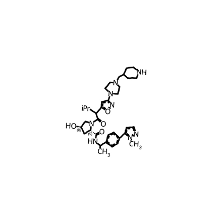 CC(NC(=O)[C@@H]1C[C@@H](O)CN1C(=O)C(c1cc(N2CCN(CC3CCNCC3)CC2)no1)C(C)C)c1ccc(-c2ccnn2C)cc1